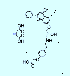 O=C(O)/C=C\C(=O)O.O=C(O)COc1ccc(CCNCC(O)COc2ccc3c(=O)cc(-c4ccccc4)oc3c2)cc1